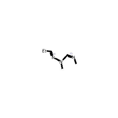 CC/C=N/N(C)/C=N\C